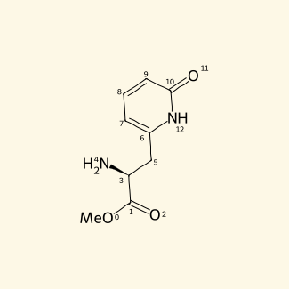 COC(=O)[C@@H](N)Cc1cccc(=O)[nH]1